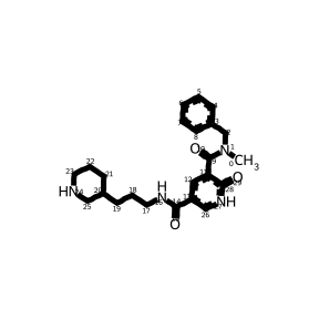 CN(Cc1ccccc1)C(=O)c1cc(C(=O)NCCCC2CCCNC2)c[nH]c1=O